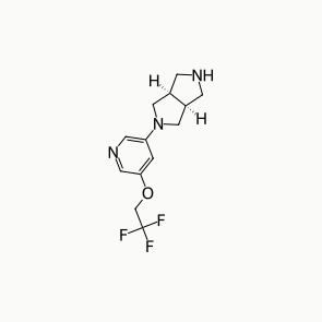 FC(F)(F)COc1cncc(N2C[C@H]3CNC[C@H]3C2)c1